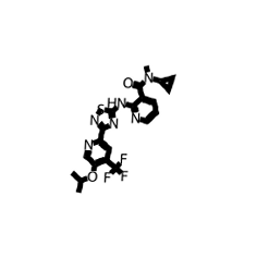 CC(C)Oc1cnc(-c2nsc(Nc3ncccc3C(=O)N(C)C3CC3)n2)cc1C(F)(F)F